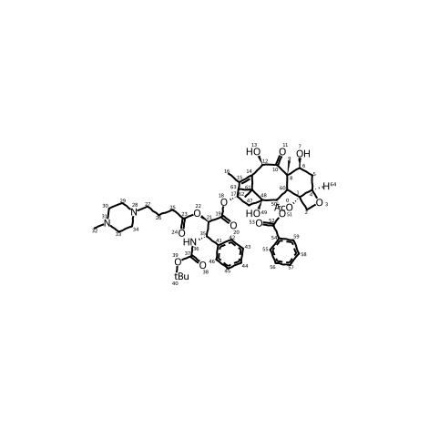 CC(=O)O[C@@]12CO[C@@H]1C[C@H](O)[C@@]1(C)C(=O)[C@H](O)C3=C(C)[C@@H](OC(=O)[C@H](OC(=O)CCCN4CCN(C)CC4)[C@@H](NC(=O)OC(C)(C)C)c4ccccc4)C[C@@](O)([C@@H](OC(=O)c4ccccc4)C12)C3(C)C